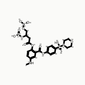 CNc1ccc(OC(=O)CC(CO[N+](=O)[O-])O[N+](=O)[O-])c(C(=O)Oc2ccc(P(=S)(S)N3CCOCC3)cc2)c1